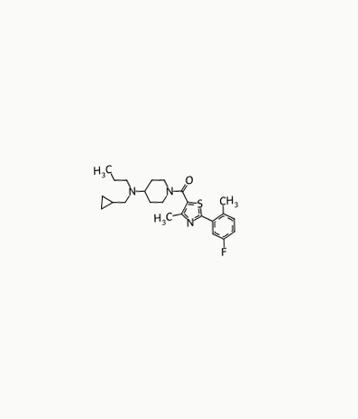 CCCN(CC1CC1)C1CCN(C(=O)c2sc(-c3cc(F)ccc3C)nc2C)CC1